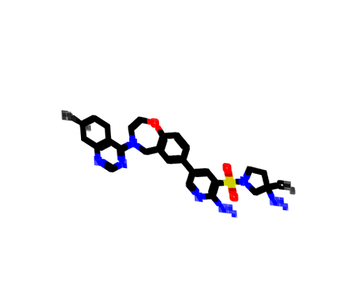 CC[C@H]1CCc2c(ncnc2N2CCOc3ccc(-c4cnc(N)c(S(=O)(=O)N5CCC(C)(N)C5)c4)cc3C2)C1